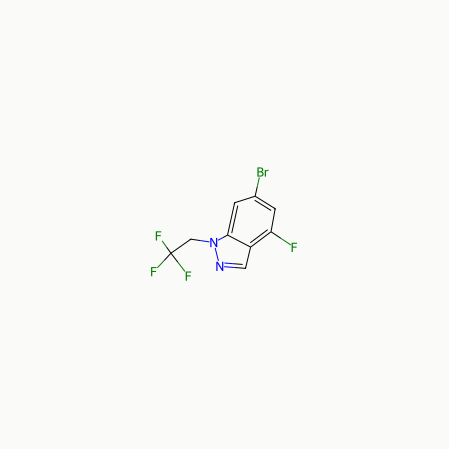 Fc1cc(Br)cc2c1cnn2CC(F)(F)F